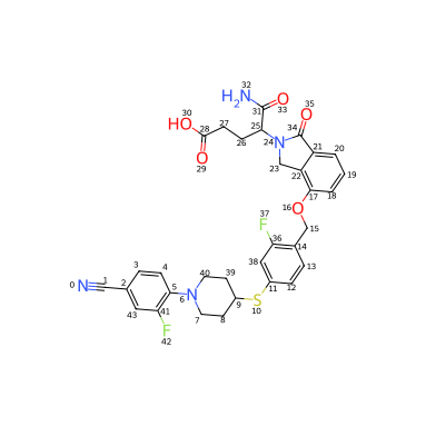 N#Cc1ccc(N2CCC(Sc3ccc(COc4cccc5c4CN(C(CCC(=O)O)C(N)=O)C5=O)c(F)c3)CC2)c(F)c1